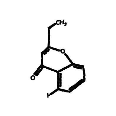 CCc1cc(=O)c2c(F)cccc2o1